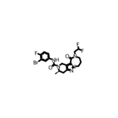 C[C@@H]1Cc2nn3c(c2CN1C(=O)Nc1ccc(F)c(Br)c1)C(=O)N(CC(F)F)CCC3